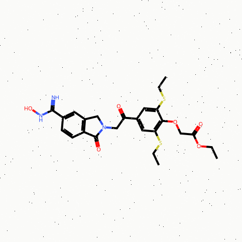 CCOC(=O)COc1c(SCC)cc(C(=O)CN2Cc3cc(C(=N)NO)ccc3C2=O)cc1SCC